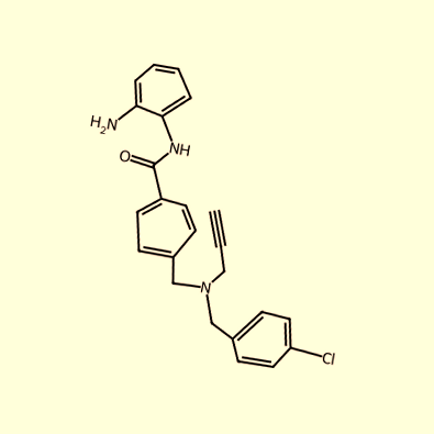 C#CCN(Cc1ccc(Cl)cc1)Cc1ccc(C(=O)Nc2ccccc2N)cc1